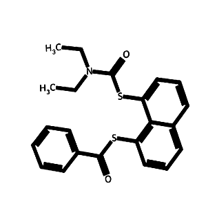 CCN(CC)C(=O)Sc1cccc2cccc(SC(=O)c3ccccc3)c12